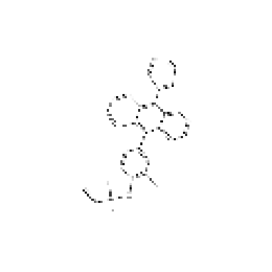 C=CC(C)(C)Oc1ccc(-c2c3ccccc3c(-c3ccccc3)c3ccccc23)cc1C